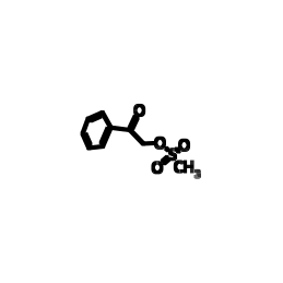 CS(=O)(=O)OCC(=O)c1ccccc1